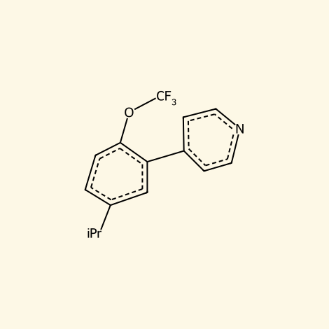 CC(C)c1ccc(OC(F)(F)F)c(-c2ccncc2)c1